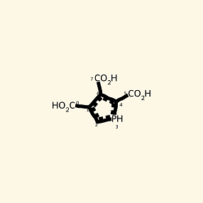 O=C(O)c1c[pH]c(C(=O)O)c1C(=O)O